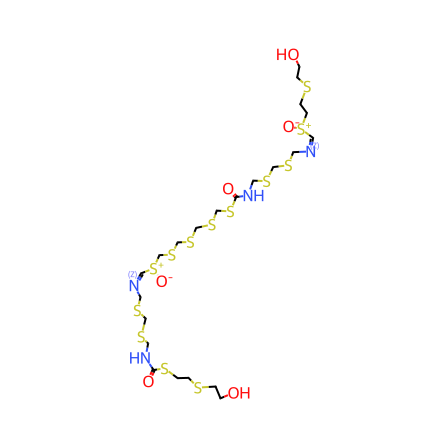 O=C(NCSCSC/N=C\[S+]([O-])CSCSCSCSC(=O)NCSCSC/N=C\[S+]([O-])CCSCCO)SCCSCCO